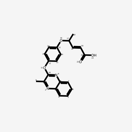 Cc1nc2ccccc2nc1Oc1ccc(OC(C)C=CC(=O)O)cc1